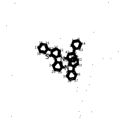 c1ccc(-c2cccc(-n3c4ccc5c6ccccc6sc5c4c4cccc(-n5c6ccccc6c6ccccc65)c43)c2)cc1